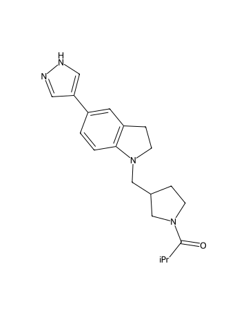 CC(C)C(=O)N1CCC(CN2CCc3cc(-c4cn[nH]c4)ccc32)C1